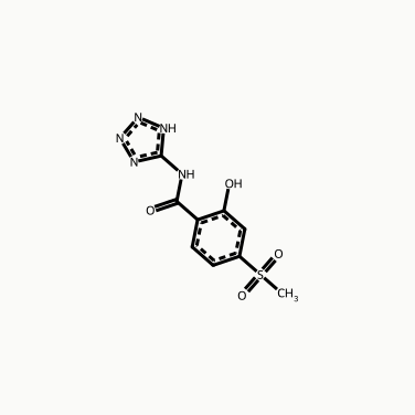 CS(=O)(=O)c1ccc(C(=O)Nc2nnn[nH]2)c(O)c1